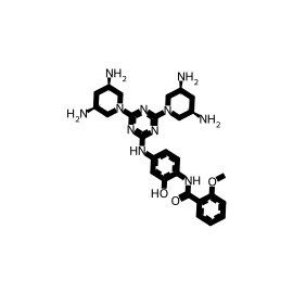 COc1ccccc1C(=O)Nc1ccc(Nc2nc(N3C[C@H](N)C[C@H](N)C3)nc(N3C[C@H](N)C[C@H](N)C3)n2)cc1O